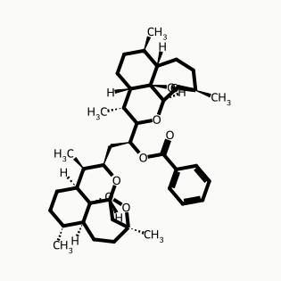 C[C@H]1[C@@H](C[C@H](OC(=O)c2ccccc2)C2O[C@@H]3C[C@]4(C)CC[C@H]5[C@H](C)CC[C@@H]([C@H]2C)[C@@]35OO4)O[C@@H]2C[C@]3(C)CC[C@H]4[C@H](C)CC[C@@H]1[C@@]24OO3